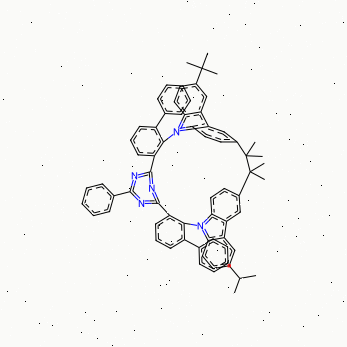 CC(C)c1ccc2c(c1)c1cc3ccc1n2-c1c(-c2ccccc2)cccc1-c1nc(-c2ccccc2)nc(n1)-c1cccc(-c2ccccc2)c1-n1c2ccc(C(C)(C)C)cc2c2cc(ccc21)C(C)(C)C3(C)C